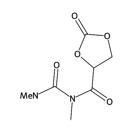 CNC(=O)N(C)C(=O)C1COC(=O)O1